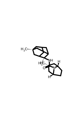 C[C@H]1C[C@H]2CC[C@@H](C1)N2C(=O)N[C@H]1C2CC3CC1C[C@](C)(C3)C2